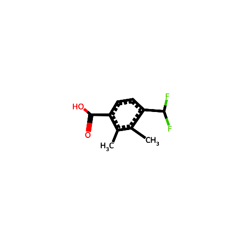 Cc1c(C(=O)O)ccc(C(F)F)c1C